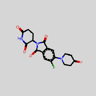 O=C1CCN(c2cc3c(cc2F)C(=O)N(C2CCC(=O)NC2=O)C3=O)CC1